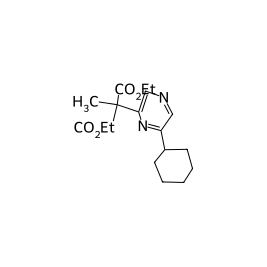 CCOC(=O)C(C)(C(=O)OCC)c1cncc(C2CCCCC2)n1